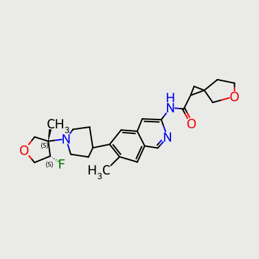 Cc1cc2cnc(NC(=O)C3CC34CCOC4)cc2cc1C1CCN([C@@]2(C)COC[C@H]2F)CC1